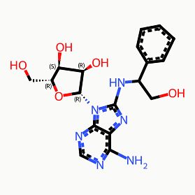 Nc1ncnc2c1nc(NC(CO)c1ccccc1)n2[C@@H]1O[C@H](CO)[C@@H](O)[C@H]1O